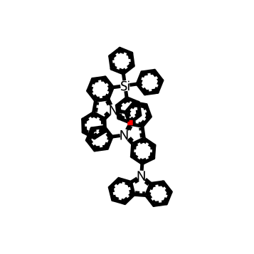 c1ccc(-n2c3cc(-n4c5ccccc5c5ccccc54)ccc3c3cccc(-n4c5ccccc5c5cccc([Si](c6ccccc6)(c6ccccc6)c6ccccc6)c54)c32)cc1